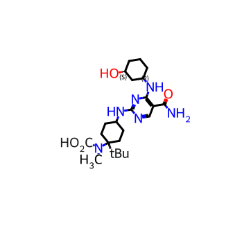 CN(C(=O)O)C1(C(C)(C)C)CCC(Nc2ncc(C(N)=O)c(N[C@@H]3CCC[C@H](O)C3)n2)CC1